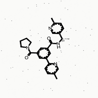 Cc1ccc(-c2cc(C(=O)N[C@@H](C)c3ccc(C)nc3)cc(C(=O)N3CCCC3)c2)nc1